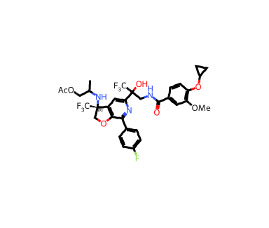 COc1cc(C(=O)NCC(O)(c2cc3c(c(-c4ccc(F)cc4)n2)OC[C@@]3(NC(C)COC(C)=O)C(F)(F)F)C(F)(F)F)ccc1OC1CC1